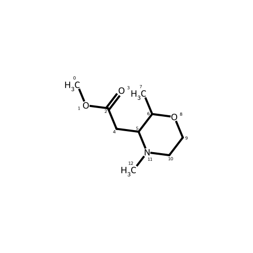 COC(=O)CC1C(C)OCCN1C